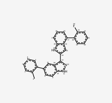 Cc1ccncc1-c1ccc2[nH]nc(-c3cc4c(-c5ccccc5F)cccc4[nH]3)c2c1